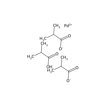 CC(C)C(=O)O.CC(C)C(=O)[O-].CC(C)C(=O)[O-].[Pd+2]